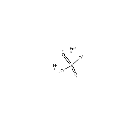 O=S(=O)([O-])[O-].[Fe+2].[H]